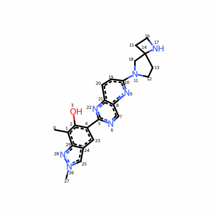 Cc1c(O)c(-c2ncc3nc(N4CCC5(CCN5)C4)ccc3n2)cc2cn(C)nc12